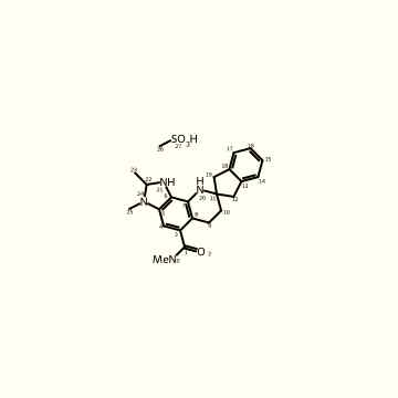 CNC(=O)c1cc2c(c3c1CCC1(Cc4ccccc4C1)N3)NC(C)N2C.CS(=O)(=O)O